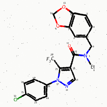 CCN(Cc1ccc2c(c1)OCO2)C(=O)c1cnn(-c2ccc(Cl)cc2)c1C(F)(F)F